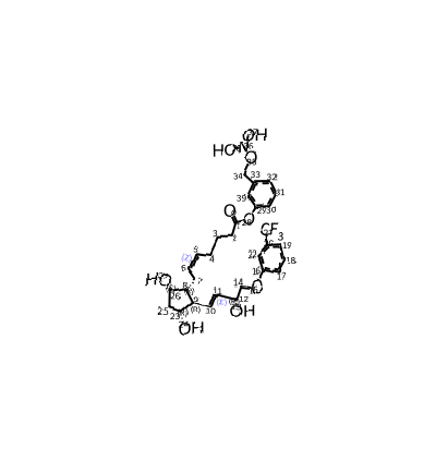 O=C(CCC/C=C\C[C@@H]1[C@@H](/C=C/[C@@H](O)COc2cccc(C(F)(F)F)c2)[C@H](O)C[C@@H]1O)Oc1cccc(CON(O)O)c1